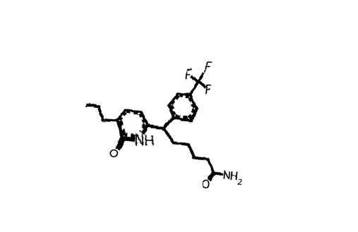 CCCc1ccc(C(CCCCC(N)=O)c2ccc(C(F)(F)F)cc2)[nH]c1=O